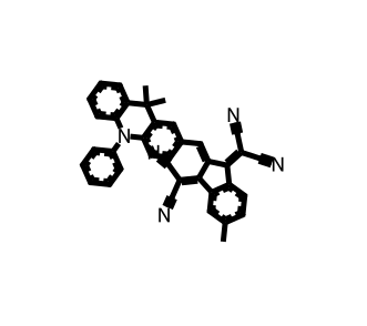 Cc1ccc2c(c1)C(=C(C#N)C#N)/C(=C\c1ccc3c(c1)C(C)(C)c1ccccc1N3c1ccccc1)C2=C(C#N)C#N